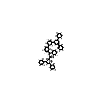 c1ccc(-c2cc(-c3ccccc3)cc(-c3cccc(-c4cccc(-c5nc(-c6nc(-c7ccccc7)cc(-c7ccccc7)n6)nc6ccccc56)c4)c3)c2)cc1